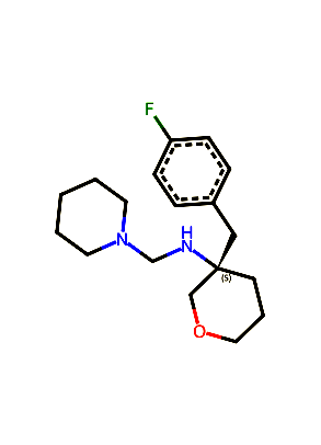 Fc1ccc(C[C@@]2(NCN3CCCCC3)CCCOC2)cc1